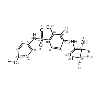 COc1ccc(NS(=O)(=O)c2ccc(NC(=O)C(C)(O)C(F)(F)F)c(Cl)c2Cl)cn1